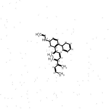 C=CNC1C=CC(C2C=CC=CC2)=C(C(=C)/C=C\C(=C)C(=C)/C=C\C)C1